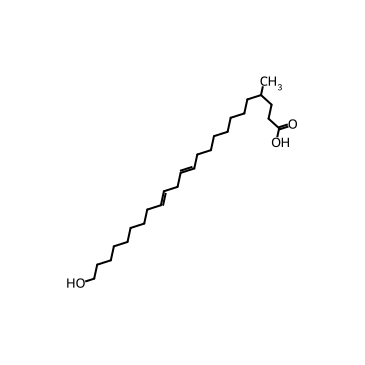 CC(CCCCCCCC=CCC=CCCCCCCCCO)CCC(=O)O